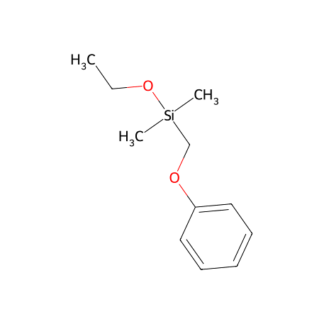 CCO[Si](C)(C)COc1ccccc1